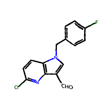 O=Cc1cn(Cc2ccc(F)cc2)c2ccc(Cl)nc12